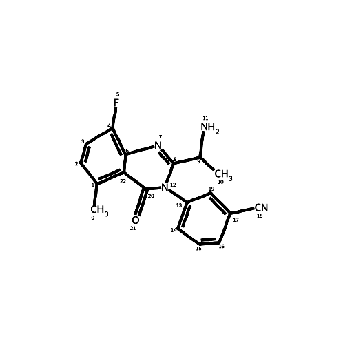 Cc1ccc(F)c2nc(C(C)N)n(-c3cccc(C#N)c3)c(=O)c12